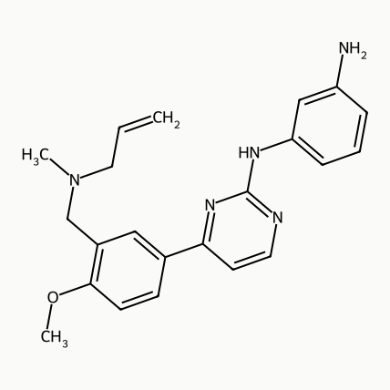 C=CCN(C)Cc1cc(-c2ccnc(Nc3cccc(N)c3)n2)ccc1OC